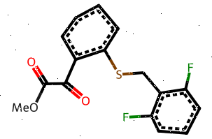 COC(=O)C(=O)c1ccccc1SCc1c(F)cccc1F